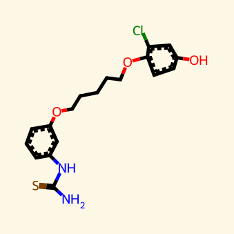 NC(=S)Nc1cccc(OCCCCCOc2ccc(O)cc2Cl)c1